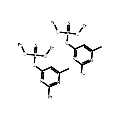 CCOP(=S)(OCC)Oc1cc(C)nc(C(C)C)n1.CCOP(=S)(OCC)Oc1cc(C)nc(C(C)C)n1